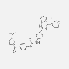 C[C@@H]1COCCN1c1nc(-c2ccc(NC(=O)Nc3ccc(C(=O)N4CCC(N(C)C)C4)cc3)cc2)nn2cccc12